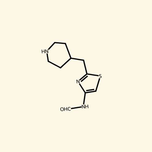 O=CNc1csc(CC2CCNCC2)n1